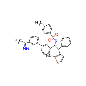 CC(=N)c1cccc(-c2cccc(-c3c(-c4ccsc4C#N)c4ccccc4n3S(=O)(=O)c3ccc(C)cc3)c2)c1